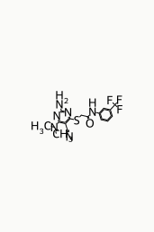 CN(C)c1nc(N)nc(SCC(=O)Nc2cccc(C(F)(F)F)c2)c1C#N